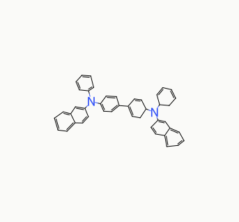 C1=CCC(N(c2ccc3ccccc3c2)C2C=CC(c3ccc(N(c4ccccc4)c4ccc5ccccc5c4)cc3)=CC2)C=C1